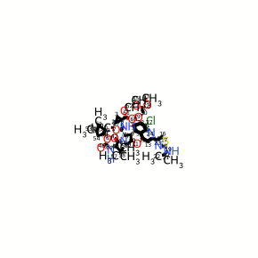 CC[C@@H]1C[C@]1(NC(=O)[C@@H]1C[C@@H](Oc2cc(-c3csc(NC(C)C)n3)nc3c(Cl)c(OCC(OC)OC)ccc23)CN1C(=O)[C@@H](NC(=O)O[C@H]1C[C@@H](C)[C@@H](C)C1)C(C)(C)C)C(=O)OC